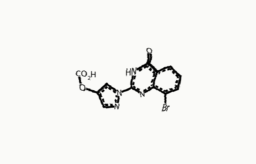 O=C(O)Oc1cnn(-c2nc3c(Br)cccc3c(=O)[nH]2)c1